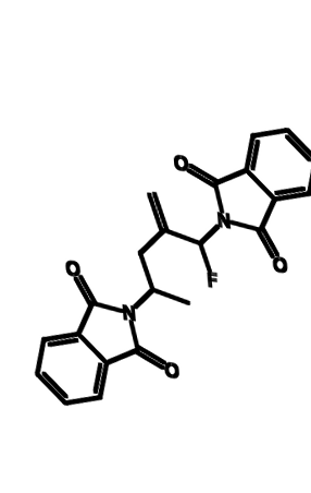 C=C(CC(C)N1C(=O)c2ccccc2C1=O)C(F)N1C(=O)c2ccccc2C1=O